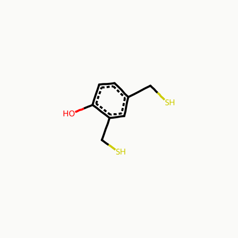 Oc1ccc(CS)cc1CS